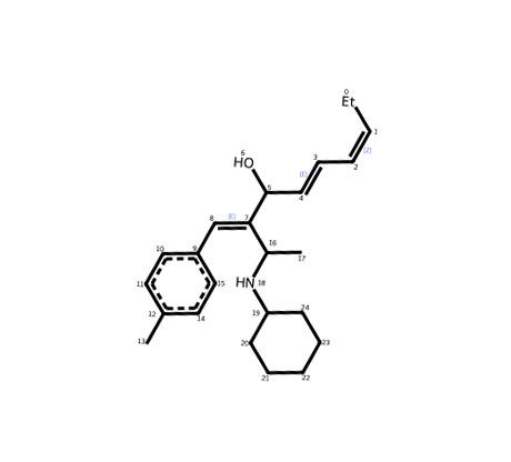 CC/C=C\C=C\C(O)/C(=C/c1ccc(C)cc1)C(C)NC1CCCCC1